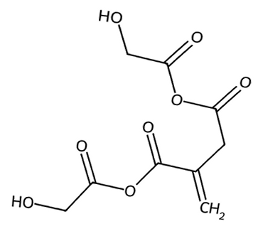 C=C(CC(=O)OC(=O)CO)C(=O)OC(=O)CO